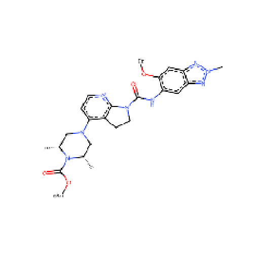 CCOc1cc2nn(C)nc2cc1NC(=O)N1CCc2c(N3C[C@@H](C)N(C(=O)OC(C)(C)C)[C@@H](C)C3)ccnc21